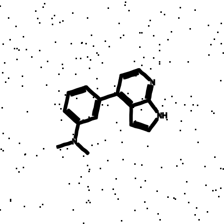 CN(C)c1cccc(-c2ccnc3[nH]ccc23)c1